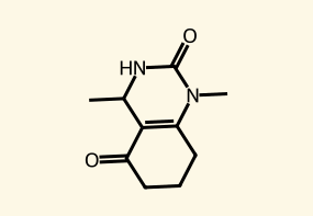 CC1NC(=O)N(C)C2=C1C(=O)CCC2